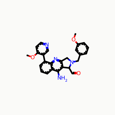 COc1cccc(CN2Cc3nc4c(-c5cnccc5OC)cccc4c(N)c3C2C=O)c1